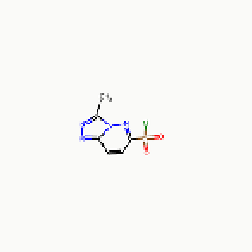 Cc1nnc2ccc(S(=O)(=O)Cl)nn12